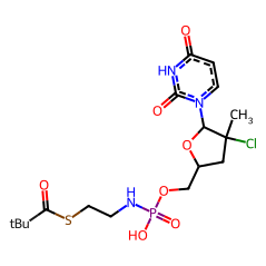 CC(C)(C)C(=O)SCCNP(=O)(O)OCC1CC(C)(Cl)C(n2ccc(=O)[nH]c2=O)O1